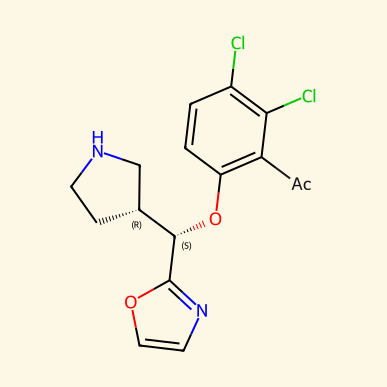 CC(=O)c1c(O[C@H](c2ncco2)[C@@H]2CCNC2)ccc(Cl)c1Cl